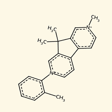 Cc1ccccc1-[n+]1ccc2c(c1)C(C)(C)c1c[n+](C)ccc1-2